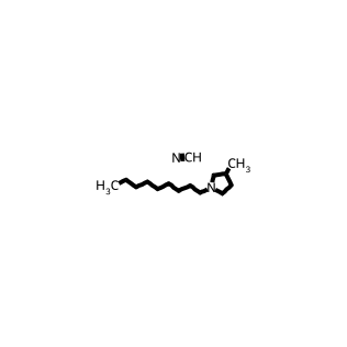 C#N.CCCCCCCCCN1CCC(C)C1